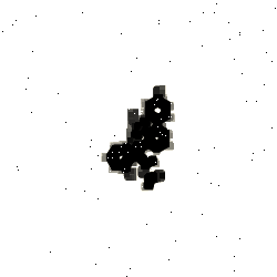 CC(=O)OC(C)c1c(-c2cccc(C3CCC(Cl)CC3)c2S(N)(=O)=O)[nH]c2cccc(Cl)c12